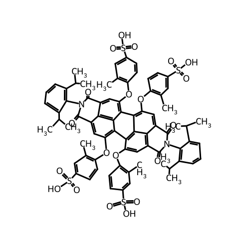 Cc1cc(S(=O)(=O)O)ccc1Oc1cc2c3c(cc(Oc4ccc(S(=O)(=O)O)cc4C)c4c5c(Oc6ccc(S(=O)(=O)O)cc6C)cc6c7c(cc(Oc8ccc(S(=O)(=O)O)cc8C)c(c1c34)c75)C(=O)N(c1c(C(C)C)cccc1C(C)C)C6=O)C(=O)N(c1c(C(C)C)cccc1C(C)C)C2=O